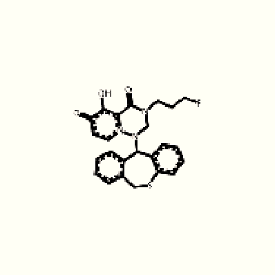 O=C1c2c(O)c(=O)ccn2N(C2c3ccccc3CSc3ccccc32)CN1CCCF